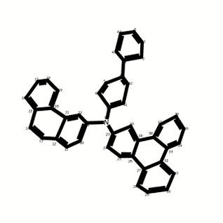 c1ccc(-c2ccc(N(c3ccc4ccc5ccccc5c4c3)c3ccc4c5ccccc5c5ccccc5c4c3)cc2)cc1